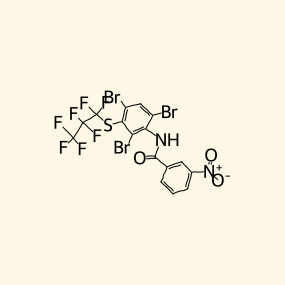 O=C(Nc1c(Br)cc(Br)c(SC(F)(F)C(F)(F)C(F)(F)F)c1Br)c1cccc([N+](=O)[O-])c1